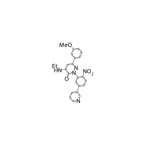 CCNc1cc(-c2cccc(OC)c2)nn(-c2cc(-c3cccnc3)ccc2[N+](=O)[O-])c1=O